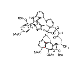 COc1ccc(CN(Cc2ccc(OC)cc2)S(=O)(=O)c2c(S(=O)(=O)NC(=O)CC(C)NC(=O)OC(C)(C)C)ccc(-c3cccc4[nH]c(NC(=O)OC(C)(C)C)nc34)c2-c2nnn(Cc3ccc(OC)cc3)n2)cc1